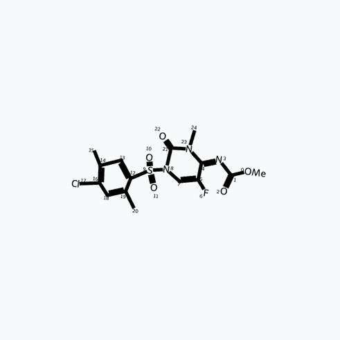 COC(=O)/N=c1\c(F)cn(S(=O)(=O)c2cc(C)c(Cl)cc2C)c(=O)n1C